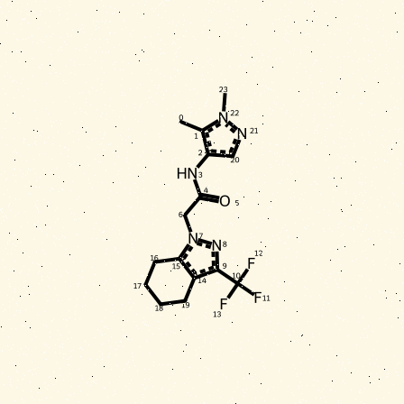 Cc1c(NC(=O)Cn2nc(C(F)(F)F)c3c2CCCC3)cnn1C